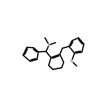 COc1ccccc1CC1=C(C(c2ccccc2)N(C)C)CCCC1